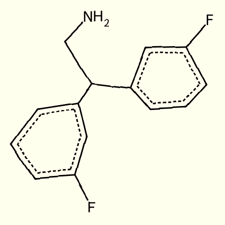 NCC(c1cccc(F)c1)c1cccc(F)c1